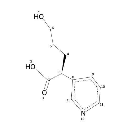 O=C(O)[C@@H](CCCO)c1cccnc1